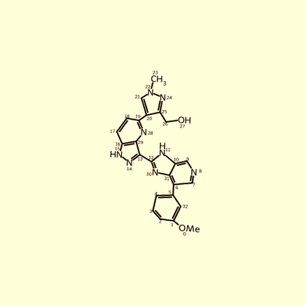 COc1cccc(-c2cncc3[nH]c(-c4n[nH]c5ccc(-c6cn(C)nc6CO)nc45)nc23)c1